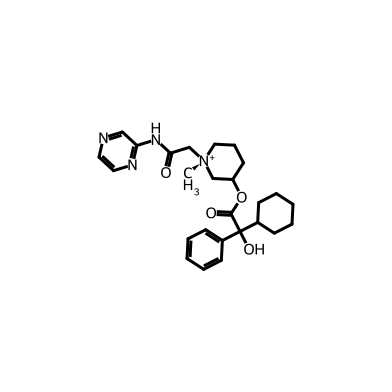 C[N@@+]1(CC(=O)Nc2cnccn2)CCCC(OC(=O)C(O)(c2ccccc2)C2CCCCC2)C1